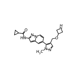 Cn1ncc(COC2CNC2)c1-c1ccn2nc(NC(=O)C3CC3)cc2c1